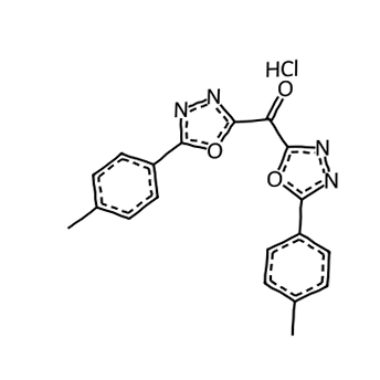 Cc1ccc(-c2nnc(C(=O)c3nnc(-c4ccc(C)cc4)o3)o2)cc1.Cl